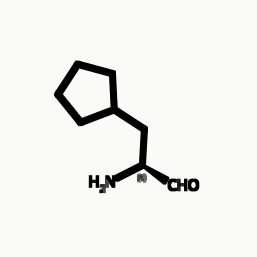 N[C@H](C=O)CC1CCCC1